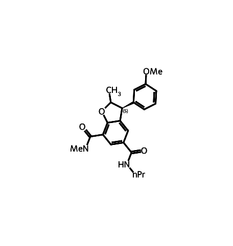 CCCNC(=O)c1cc(C(=O)NC)c2c(c1)[C@H](c1cccc(OC)c1)C(C)O2